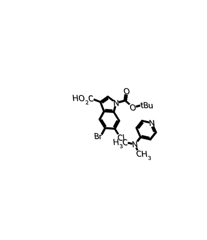 CC(C)(C)OC(=O)n1cc(C(=O)O)c2cc(Br)c(Cl)cc21.CN(C)c1ccncc1